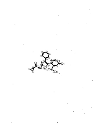 CC(C)c1cc(=O)[nH]nc1-c1sc(NC(=O)C2CC2)nc1-c1ccccc1